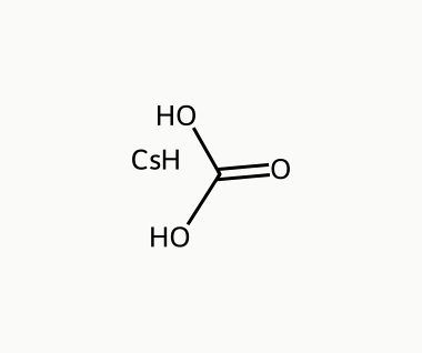 O=C(O)O.[CsH]